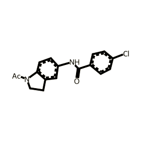 CC(=O)N1CCc2cc(NC(=O)c3ccc(Cl)cc3)ccc21